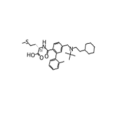 CSCC[C@H](NC(=O)c1ccc(CN(CCC2CCCCC2)C(C)(C)C)cc1-c1ccccc1C)C(=O)O